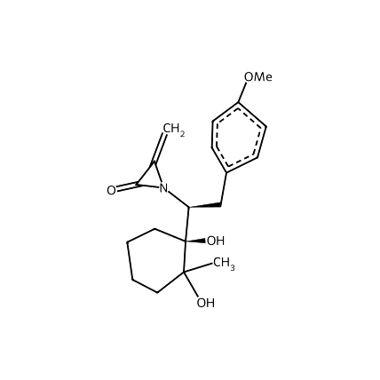 C=C1C(=O)N1[C@@H](Cc1ccc(OC)cc1)[C@@]1(O)CCCCC1(C)O